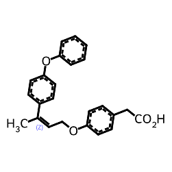 C/C(=C/COc1ccc(CC(=O)O)cc1)c1ccc(Oc2ccccc2)cc1